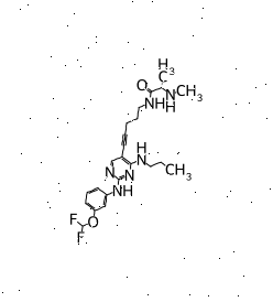 CCCNc1nc(Nc2cccc(OC(F)F)c2)ncc1C#CCCCNC(=O)[C@H](C)NC